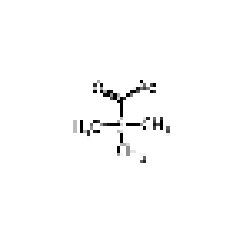 CC(=O)C(=O)[Si](C)(C)C